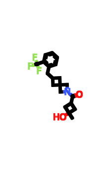 CC1(O)CC(C(=O)N2CC3(CC(Cc4ccccc4C(F)(F)F)C3)C2)C1